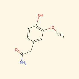 COc1cc(CC(N)=O)ccc1O